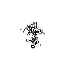 CCOP(=O)(OCC)C(COC)(CC(=O)NO)OC[C@H]1O[C@@H](n2ncc3c(N(C(=O)O)C4CCCC4)nc(Cl)nc32)[C@@H]2OC(C)(C)O[C@@H]21